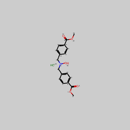 COC(=O)c1ccc(CN(O)Cc2ccc(C(=O)OC)cc2)cc1.Cl